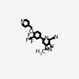 Cn1nnc2c(C#N)nc(-c3ccc(OCc4ccncc4)c(C(F)(F)F)c3)cc21